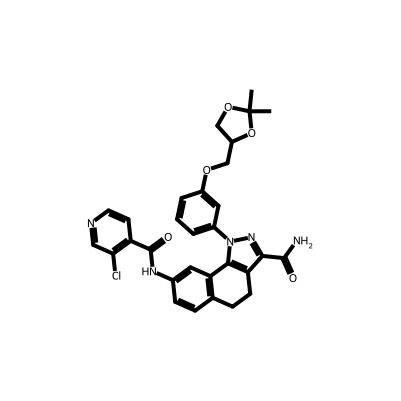 CC1(C)OCC(COc2cccc(-n3nc(C(N)=O)c4c3-c3cc(NC(=O)c5ccncc5Cl)ccc3CC4)c2)O1